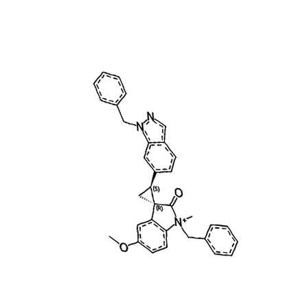 COc1ccc2c(c1)[C@]1(C[C@H]1c1ccc3cnn(Cc4ccccc4)c3c1)C(=O)[N+]2(C)Cc1ccccc1